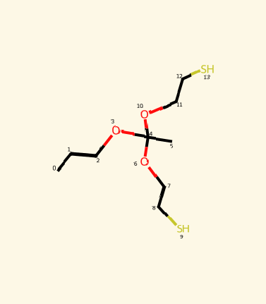 CCCOC(C)(OCCS)OCCS